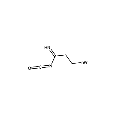 CCCCCC(=N)N=C=O